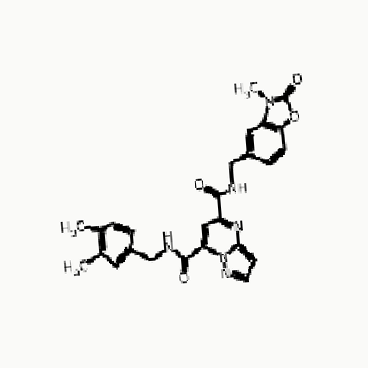 Cc1ccc(CNC(=O)c2cc(C(=O)NCc3ccc4oc(=O)n(C)c4c3)nc3ccnn23)cc1C